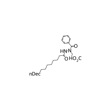 CCCCCCCCCCCCCCCCCC(=O)NN(CC(=O)O)C(=O)c1ccccc1